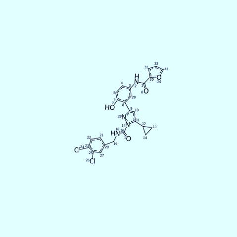 O=C(Nc1ccc(O)c(-c2cc(C3CC3)n(C(=O)NCc3ccc(Cl)c(Cl)c3)n2)c1)c1ccco1